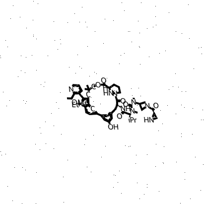 CCn1c(-c2cccnc2[C@H](C)OC)c2c3cc(ccc31)-c1cc(O)cc(c1)C[C@H](NC(=O)[C@H](C(C)C)N(C)C(=O)N(C)C1CN(C(=O)[C@H]3CN3)C1)C(=O)N1CCC[C@H](N1)C(=O)OCC(C)(C)C2